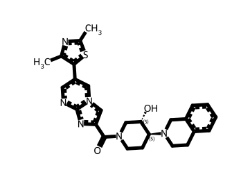 Cc1nc(C)c(-c2cnc3nc(C(=O)N4CC[C@H](N5CCc6ccccc6C5)[C@@H](O)C4)cn3c2)s1